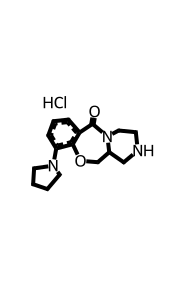 Cl.O=C1c2cccc(N3CCCC3)c2OCC2CNCCN12